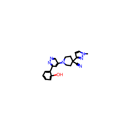 Cn1ccc(C2(C#N)CCN(c3cnnc(-c4ccccc4O)c3)CC2)n1